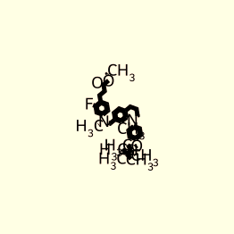 CCOC(=O)CCc1ccc(N(C)Cc2ccc3c(c2C)N(c2ccc(O[Si](C)(C)C(C)(C)C)cc2)CCC3)cc1F